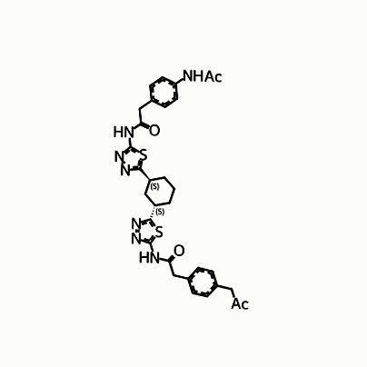 CC(=O)Cc1ccc(CC(=O)Nc2nnc([C@H]3CCC[C@H](c4nnc(NC(=O)Cc5ccc(NC(C)=O)cc5)s4)C3)s2)cc1